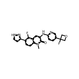 Cn1c(=O)c(Nc2ccc(C3(F)COC3)cn2)cc2c(F)c(-c3cc[nH]n3)ccc21